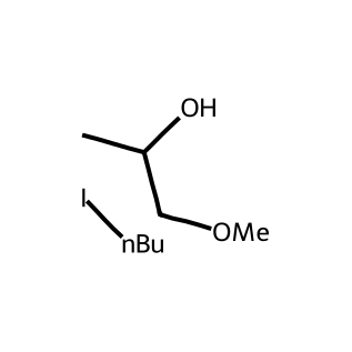 CCCCI.COCC(C)O